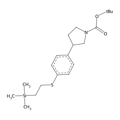 CC(C)(C)OC(=O)N1CCC(c2ccc(SCC[Si](C)(C)C)cc2)C1